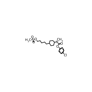 CN(C(=O)Oc1ccc(Cl)cc1)C1CCC(CCCCCOS(C)(=O)=O)CC1